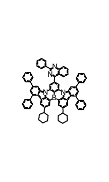 c1ccc(-c2cc(-c3ccccc3)c3c4cc(C5CCCCC5)cc5c4n(c3c2)-c2cc(-c3nc(-c4ccccc4)nc4ccccc34)cc3c2B5c2cc(C4CCCCC4)cc4c5c(-c6ccccc6)cc(-c6ccccc6)cc5n-3c24)cc1